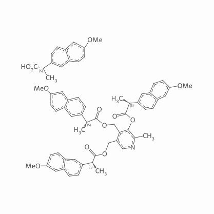 COc1ccc2cc([C@H](C)C(=O)O)ccc2c1.COc1ccc2cc([C@H](C)C(=O)OCc3cnc(C)c(OC(=O)[C@@H](C)c4ccc5cc(OC)ccc5c4)c3COC(=O)[C@@H](C)c3ccc4cc(OC)ccc4c3)ccc2c1